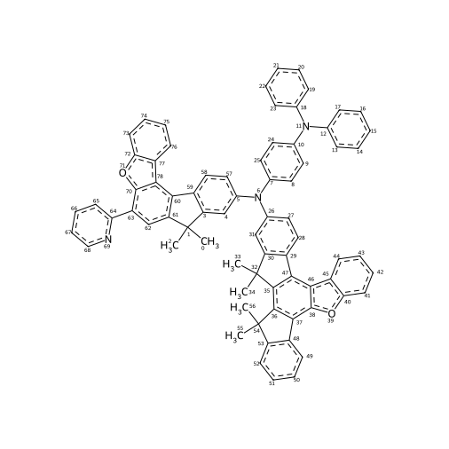 CC1(C)c2cc(N(c3ccc(N(c4ccccc4)c4ccccc4)cc3)c3ccc4c(c3)C(C)(C)c3c5c(c6oc7ccccc7c6c3-4)-c3ccccc3C5(C)C)ccc2-c2c1cc(-c1ccccn1)c1oc3ccccc3c21